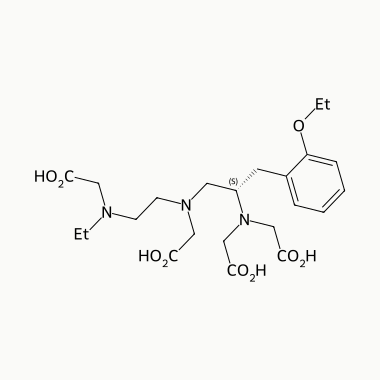 CCOc1ccccc1C[C@@H](CN(CCN(CC)CC(=O)O)CC(=O)O)N(CC(=O)O)CC(=O)O